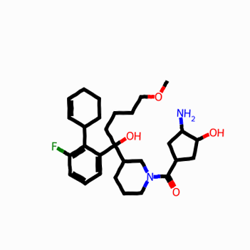 COCCCCC(O)(c1cccc(F)c1C1C=CCCC1)C1CCCN(C(=O)C2CC(N)C(O)C2)C1